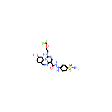 NS(=O)(=O)c1ccc(NNC(=O)c2cnc(NCCOC(F)F)nc2/N=C\C2CCC(O)CC2)cc1